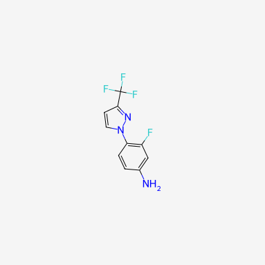 Nc1ccc(-n2ccc(C(F)(F)F)n2)c(F)c1